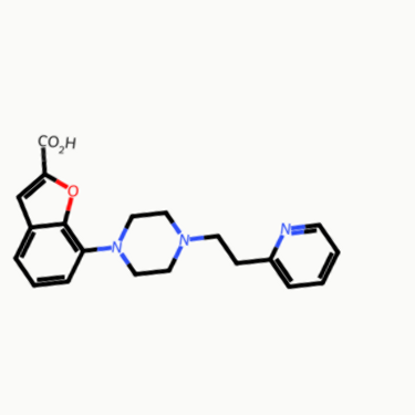 O=C(O)c1cc2cccc(N3CCN(CCc4ccccn4)CC3)c2o1